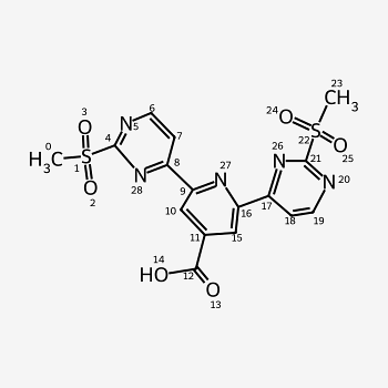 CS(=O)(=O)c1nccc(-c2cc(C(=O)O)cc(-c3ccnc(S(C)(=O)=O)n3)n2)n1